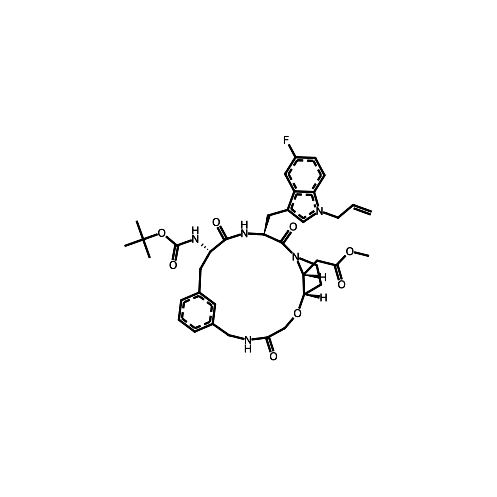 C=CCn1cc(C[C@@H]2NC(=O)[C@@H](NC(=O)OC(C)(C)C)Cc3cccc(c3)CNC(=O)CO[C@H]3CCN(C2=O)[C@@H]3CC(=O)OC)c2cc(F)ccc21